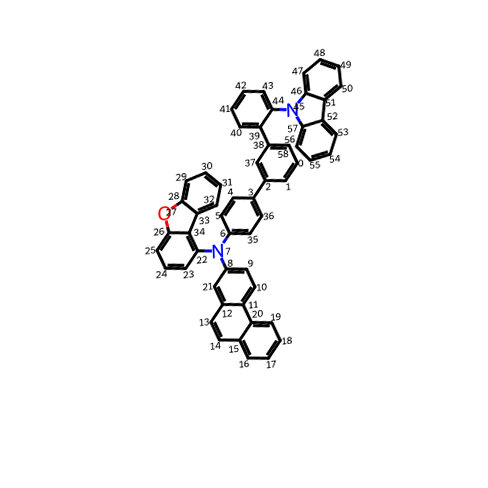 c1cc(-c2ccc(N(c3ccc4c(ccc5ccccc54)c3)c3cccc4oc5ccccc5c34)cc2)cc(-c2ccccc2-n2c3ccccc3c3ccccc32)c1